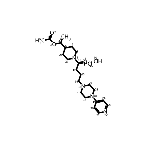 CC(=O)OC(C)C1CCN(C(=O)CCCN2CCN(c3ccncc3)CC2)CC1.Cl.Cl